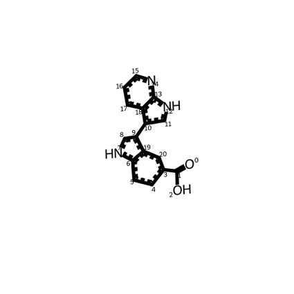 O=C(O)c1ccc2[nH]cc(-c3c[nH]c4ncccc34)c2c1